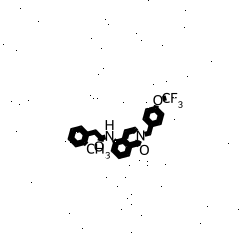 Cc1ccccc1CC(=O)Nc1cccc2c(=O)n(Cc3ccc(OC(F)(F)F)cc3)ccc12